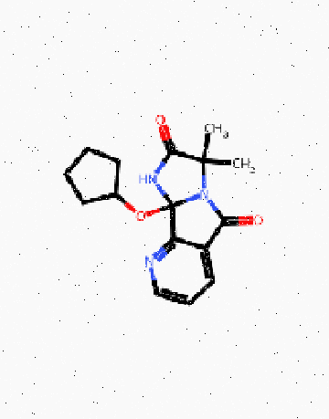 CC1(C)C(=O)NC2(OC3CCCC3)c3ncccc3C(=O)N12